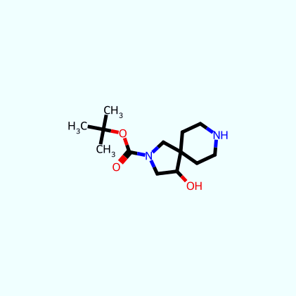 CC(C)(C)OC(=O)N1CC(O)C2(CCNCC2)C1